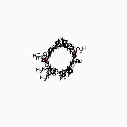 CCCC[C@H]1C(=O)N2CCC[C@@H]2C(=O)N[C@@H](CC(=O)O)C(=O)N[C@@H](C(C)C)C(=O)N(C)[C@@H](Cc2ccccc2)C(=O)N[C@@H](Cc2ccc(O)cc2)C(=O)N2CCCC[C@@H]2C(=O)N[C@H](CCC(=O)O)C(=O)N[C@@H](Cc2ccc(O)cc2)C(=O)N[C@@H](CCCN)C(=O)N[C@H](C(=O)NCC(N)=O)CSCC(=O)N[C@@H](Cc2cc(F)c(F)c(F)c2)C(=O)N(C)[C@@H](Cc2ccc(F)cc2)C(=O)N1C